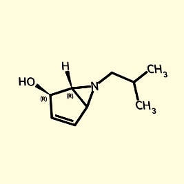 CC(C)CN1C2C=C[C@@H](O)[C@@H]21